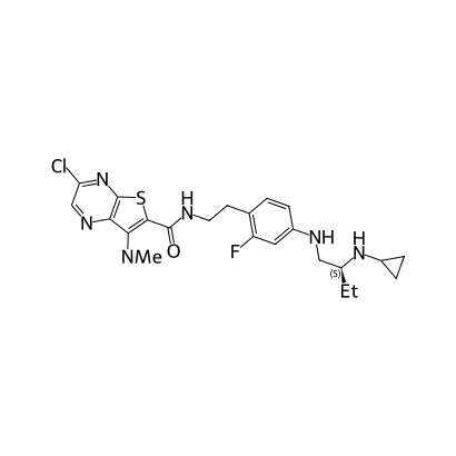 CC[C@@H](CNc1ccc(CCNC(=O)c2sc3nc(Cl)cnc3c2NC)c(F)c1)NC1CC1